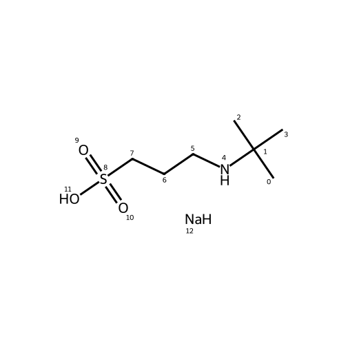 CC(C)(C)NCCCS(=O)(=O)O.[NaH]